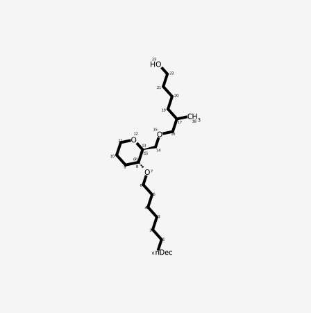 CCCCCCCCCCCCCCCCO[C@@H]1CCCO[C@H]1COCC(C)CCCCO